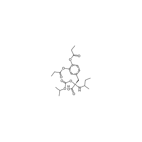 CCC(=O)Oc1ccc(C[C@](NC(C)CC)(OC(=O)OC(C)C)C(=O)O)cc1OC(=O)CC